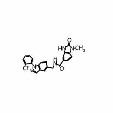 Cn1c(=O)[nH]c2cc(C(=O)NCc3ccc4c(ccn4-c4ccccc4C(F)(F)F)c3)ccc21